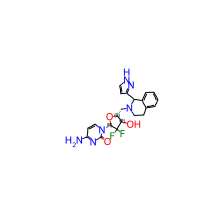 Nc1ccn([C@@H]2O[C@H](CN3CCc4ccccc4C3c3cc[nH]n3)[C@@H](O)C2(F)F)c(=O)n1